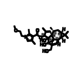 COCCn1cc(C)c(C(=O)O[C@H]2C(C)=C[C@]34C(=O)[C@@H](C=C(CO)[C@@H](O)[C@]23O)[C@H]2[C@@H](C[C@H]4C)C2(C)C)c1C